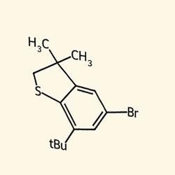 CC(C)(C)c1cc(Br)cc2c1SCC2(C)C